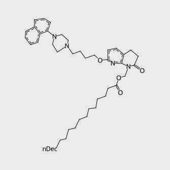 CCCCCCCCCCCCCCCCCCCCCC(=O)OCN1C(=O)CCc2ccc(OCCCCN3CCN(c4cccc5ccccc45)CC3)nc21